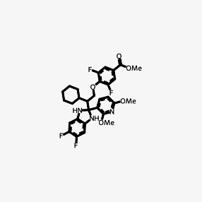 COC(=O)c1cc(F)c(OCC(C2CCCCC2)C2(c3ccc(OC)nc3OC)Nc3cc(F)c(F)cc3N2)c(F)c1